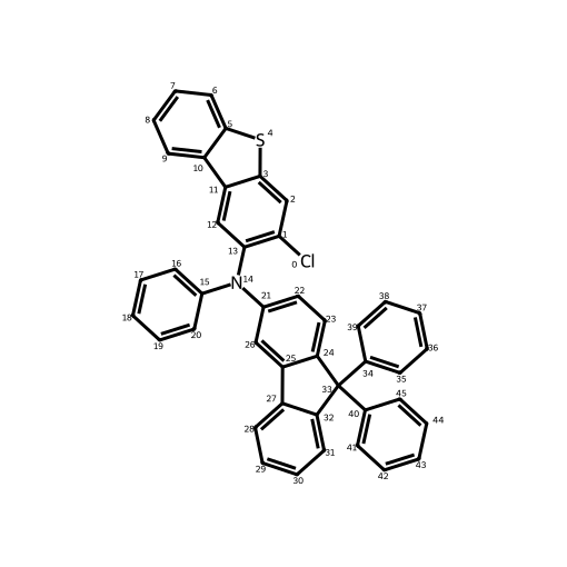 Clc1cc2sc3ccccc3c2cc1N(c1ccccc1)c1ccc2c(c1)-c1ccccc1C2(c1ccccc1)c1ccccc1